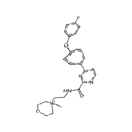 C[N+]1(CCNC(=O)c2nccc(-c3ccc(Oc4ccc(F)cc4)cc3)n2)CCOCC1